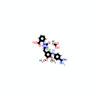 CC(=O)O.COc1cc(Cc2nn(-c3ccccc3C(=O)O)c(=O)[nH]2)c(F)c(Nc2ccc(C(=N)N)cc2)c1OC